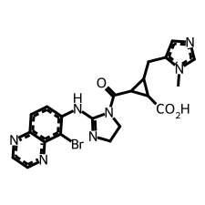 Cn1cncc1CC1C(C(=O)O)C1C(=O)N1CCN=C1Nc1ccc2nccnc2c1Br